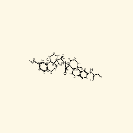 CCC(=O)Nc1ccc2c(c1)[C@@]1(C)CCC[C@]3(C(=O)N3C(=O)[C@@]3(C)CCC[C@]4(C)c5cc(N)ccc5CC[C@@H]34)C1CC2